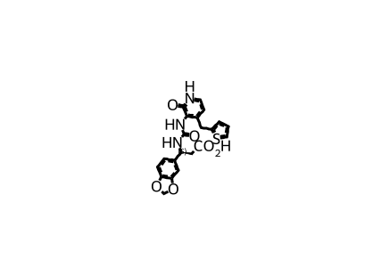 O=C(O)C[C@H](NC(=O)Nc1c(Cc2cccs2)cc[nH]c1=O)c1ccc2c(c1)OCO2